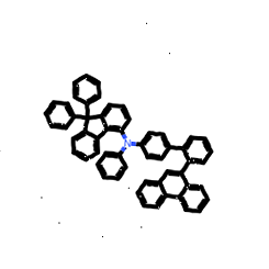 c1ccc(N(c2ccc(-c3ccccc3-c3cc4ccccc4c4ccccc34)cc2)c2cccc3c2-c2ccccc2C3(c2ccccc2)c2ccccc2)cc1